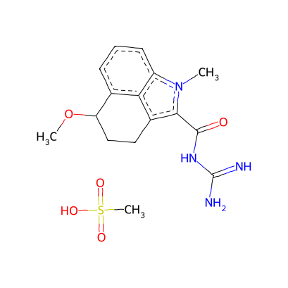 COC1CCc2c(C(=O)NC(=N)N)n(C)c3cccc1c23.CS(=O)(=O)O